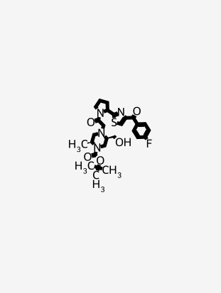 C[C@@H]1CN(CC(=O)N2CCCC2c2nc(C(=O)c3ccc(F)cc3)cs2)[C@@H](CO)CN1C(=O)OC(C)(C)C